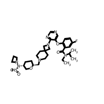 CCN(C(=O)c1cc(F)ccc1Oc1cncnc1N1CC2(CCN(C[C@@H]3CC[C@@H](N(N4CCC4)[SH](=O)=O)CO3)CC2)C1)C(C)C